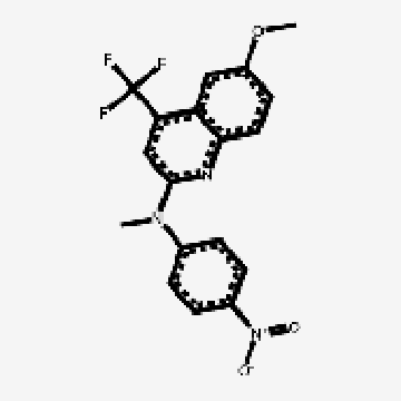 COc1ccc2nc(N(C)c3ccc([N+](=O)[O-])cc3)cc(C(F)(F)F)c2c1